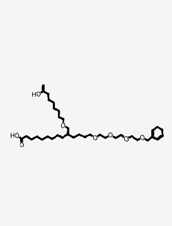 C=C(O)CCCCCCCOCC(CCCCCCCCC(=O)O)CCCCOCCOCCOCCOCC1=CCCC=C1